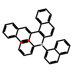 c1ccc(N(c2ccc3ccccc3c2-c2ccc3ccccc3c2)c2cccc3ccccc23)cc1